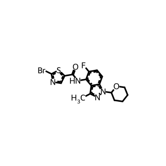 Cc1nn(C2CCCCO2)c2ccc(F)c(NC(=O)c3cnc(Br)s3)c12